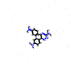 CN(C)c1ccc(-c2nnc(N(C)C)nc2-c2ccc(N(C)C)cc2)cc1